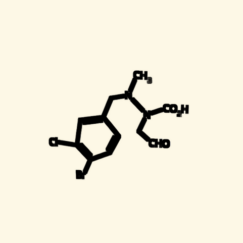 CN(Cc1ccc(Br)c(Cl)c1)N(CC=O)C(=O)O